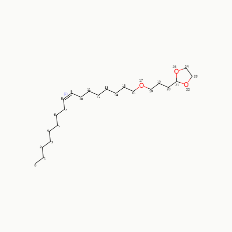 CCCCCCCC/C=C\CCCCCCCOCCCC1OCCO1